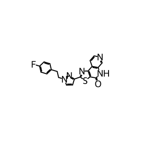 O=c1[nH]c2cnccc2c2nc(-c3ccn(CCc4ccc(F)cc4)n3)sc12